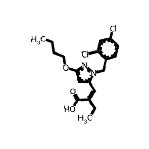 CCCCOc1cc(C=C(CC)C(=O)O)n(Cc2ccc(Cl)cc2Cl)n1